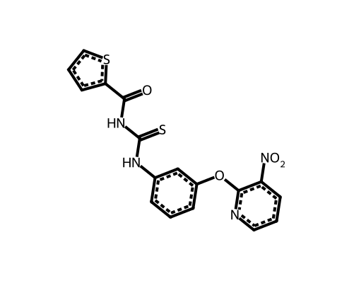 O=C(NC(=S)Nc1cccc(Oc2ncccc2[N+](=O)[O-])c1)c1cccs1